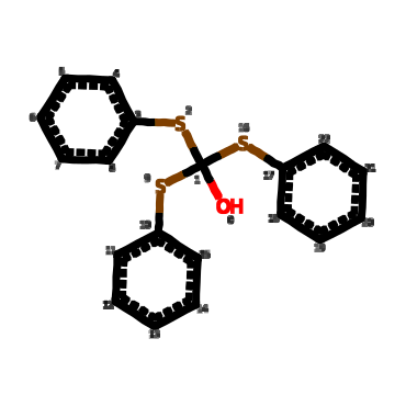 OC(Sc1ccccc1)(Sc1ccccc1)Sc1ccccc1